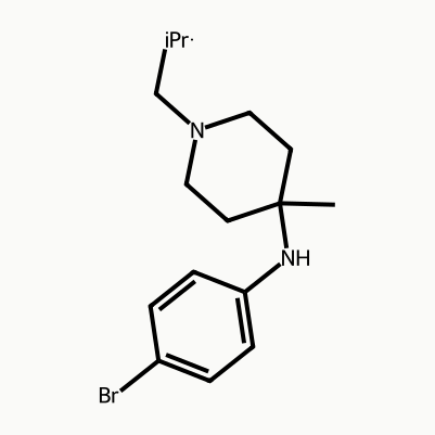 C[C](C)CN1CCC(C)(Nc2ccc(Br)cc2)CC1